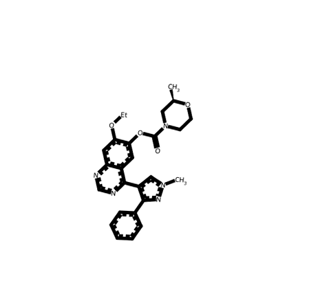 CCOc1cc2ncnc(-c3cn(C)nc3-c3ccccc3)c2cc1OC(=O)N1CCO[C@H](C)C1